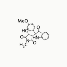 COc1ccc(C2(C3C(=O)N(C)C(=O)C3O)Nc3ccccc3C2=O)cc1